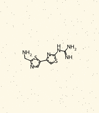 N=C(N)Nc1nc(-c2cnc(CN)s2)cs1